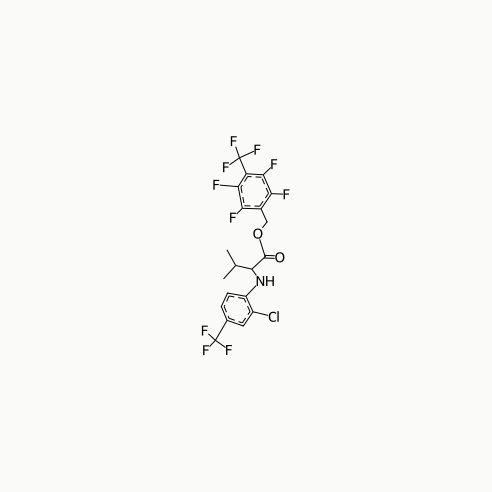 CC(C)C(Nc1ccc(C(F)(F)F)cc1Cl)C(=O)OCc1c(F)c(F)c(C(F)(F)F)c(F)c1F